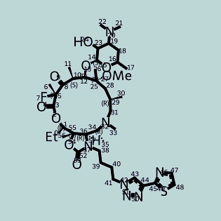 CC[C@H]1OC(=O)[C@](C)(F)C(=O)[C@@H](C)[C@@H](O[C@@H]2OC(C)CC(N(C)C)C2O)[C@](C)(OC)C[C@@H](C)CN(C)[C@H](C)[C@H]2N(CCCCn3cc(-c4nccs4)nn3)C(=O)O[C@]12C